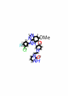 COc1cc2ncnc(Nc3ccc(F)c(Cl)c3)c2cc1OC1CCN(CCN2CCCNC2=O)CC1